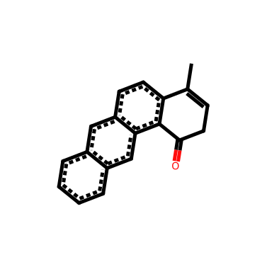 CC1=CCC(=O)c2c1ccc1cc3ccccc3cc21